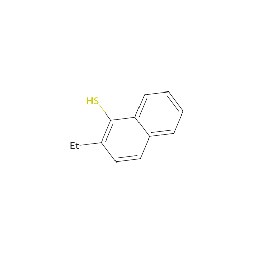 CCc1ccc2ccccc2c1S